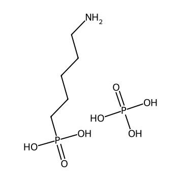 NCCCCCP(=O)(O)O.O=P(O)(O)O